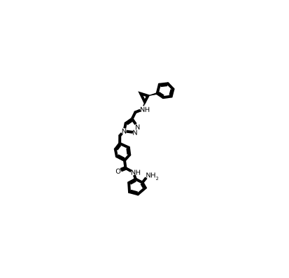 Nc1ccccc1NC(=O)c1ccc(Cn2cc(CN[C@@H]3C[C@H]3c3ccccc3)nn2)cc1